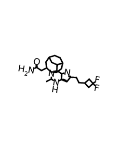 CC1N=C(C2CC3CCC2CCCC(CC(N)=O)C3)C2N=C(CCC3CC(F)(F)C3)C=C2N1